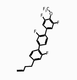 C=CCCc1ccc(-c2ccc(-c3cc(F)c(OC(F)(F)F)c(F)c3)c(F)c2)c(F)c1